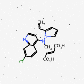 C=Cc1cccn1N(C)c1ccnc2cc(Cl)ccc12.O=C(O)C=CC(=O)O